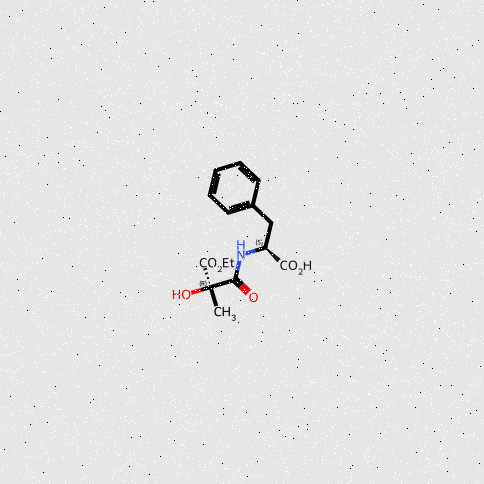 CCOC(=O)[C@](C)(O)C(=O)N[C@@H](Cc1ccccc1)C(=O)O